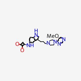 COc1cncnc1N1CCN(CCCc2c[nH]c3ccc(Nc4cc(=O)c4=O)cc23)CC1